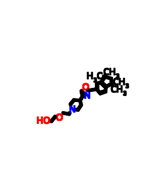 CC1(C)CC(C)(C)c2cc(-c3nc(C4CCN(CCOCCO)CC4)co3)ccc21